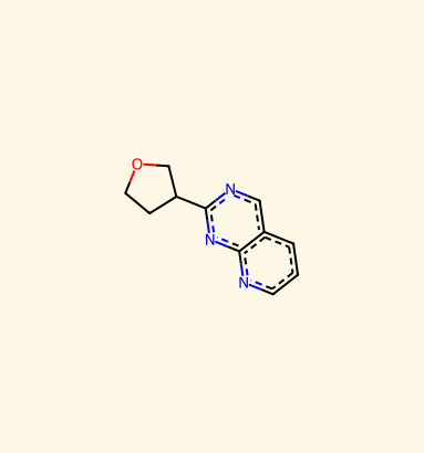 c1cnc2nc(C3CCOC3)ncc2c1